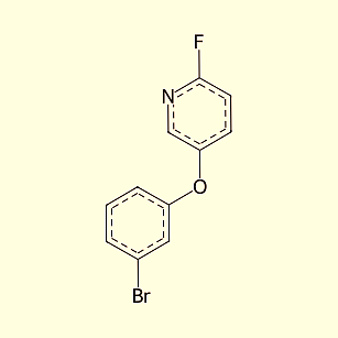 Fc1ccc(Oc2cccc(Br)c2)cn1